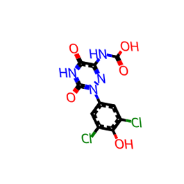 O=C(O)Nc1nn(-c2cc(Cl)c(O)c(Cl)c2)c(=O)[nH]c1=O